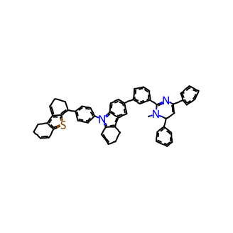 CN1C(c2cccc(-c3ccc4c(c3)c3c(n4-c4ccc(C5=c6sc7c(c6=CCC5)CCC=C7)cc4)C=CCC3)c2)=NC(c2ccccc2)=CC1c1ccccc1